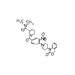 CCN(CC)C(=O)C1CCCN(C(=O)c2ccc(N3CCC(N4C(=O)OCc5ccccc54)CC3)c([N+](=O)[O-])c2)C1